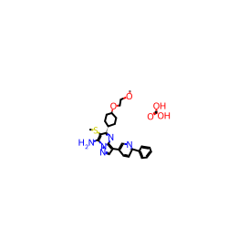 COCCO[C@H]1CC[C@H](c2nc3c(-c4ccc(-c5ccccc5)nc4)cnn3c(N)c2SC)CC1.O=C(O)O